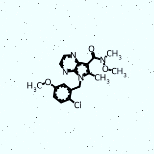 COc1ccc(Cl)c(Cn2c(C)c(C(=O)N(C)OC)c3nccnc32)c1